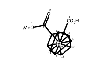 COC(=O)[C]12[CH]3[CH]4[CH]5[C]1(C(=O)O)[Fe]45321678[CH]2[CH]1[CH]6[CH]7[CH]28